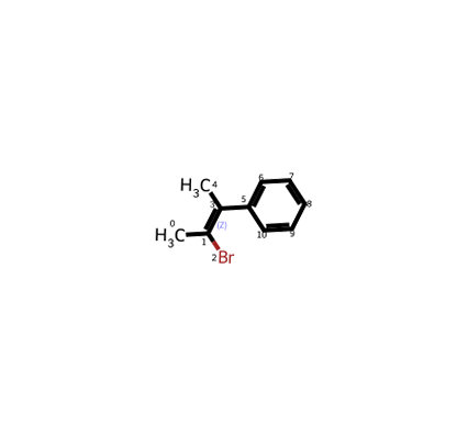 C/C(Br)=C(\C)c1ccccc1